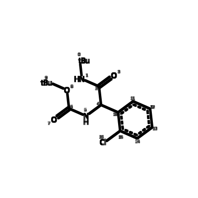 CC(C)(C)NC(=O)C(NC(=O)OC(C)(C)C)c1ccccc1Cl